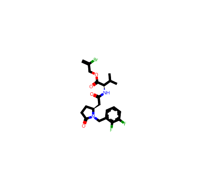 C=C(Br)COC(=O)[C@@H](NC(=O)C[C@@H]1CCC(=O)N1Cc1cccc(F)c1F)C(C)C